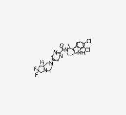 CC1c2c([nH]c3c(Cl)c(Cl)ccc23)CCN1C(=O)c1ncc(N2CCN3CC(F)(F)C[C@H]3C2)cn1